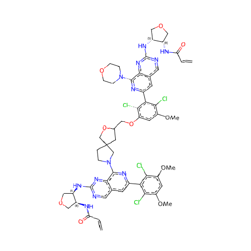 C=CC(=O)N[C@H]1COC[C@H]1Nc1ncc2cc(-c3c(Cl)c(OC)cc(OC)c3Cl)nc(N3CCC4(COC(COc5cc(OC)c(Cl)c(-c6cc7cnc(N[C@@H]8COC[C@@H]8NC(=O)C=C)nc7c(N7CCOCC7)n6)c5Cl)C4)C3)c2n1